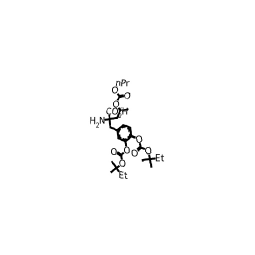 CCCOC(=O)O[C@@H](C)CC(N)(Cc1ccc(OC(=O)OC(C)(C)CC)c(OC(=O)OC(C)(C)CC)c1)C(=O)O